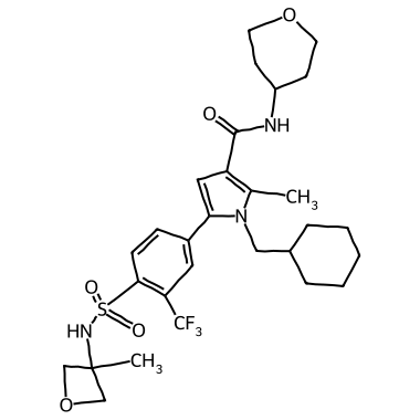 Cc1c(C(=O)NC2CCOCC2)cc(-c2ccc(S(=O)(=O)NC3(C)COC3)c(C(F)(F)F)c2)n1CC1CCCCC1